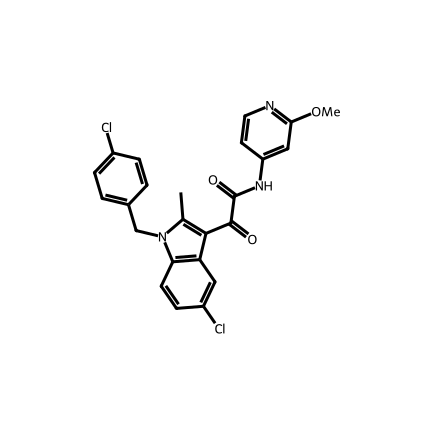 COc1cc(NC(=O)C(=O)c2c(C)n(Cc3ccc(Cl)cc3)c3ccc(Cl)cc23)ccn1